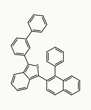 c1ccc(-c2cccc(-c3sc(-c4ccc5ccccc5c4-c4ccccc4)c4ccccc34)c2)cc1